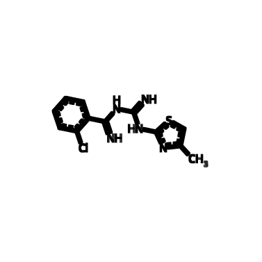 Cc1csc(NC(=N)NC(=N)c2ccccc2Cl)n1